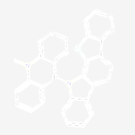 CN1c2ccccc2B(n2c3ccccc3c3ccc4c5ccccc5oc4c32)c2ccccc21